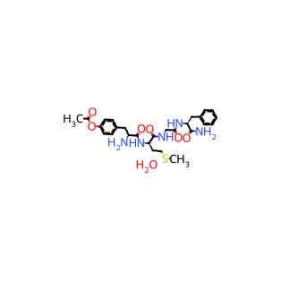 CSCC[C@@H](NC(=O)[C@@H](N)Cc1ccc(OC(C)=O)cc1)C(=O)NCC(=O)N[C@@H](Cc1ccccc1)C(N)=O.O